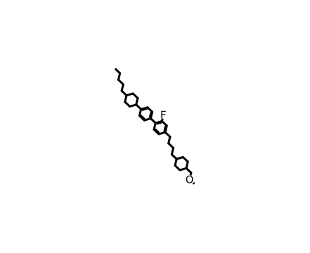 CCCCCC1CCC(c2ccc(-c3ccc(CCCCC4CCC(COC)CC4)cc3F)cc2)CC1